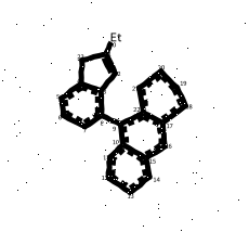 CCC1=Cc2c(cccc2-c2c3ccccc3cc3ccccc23)[CH]1